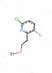 CCOCCc1nc(Cl)ccc1Cl